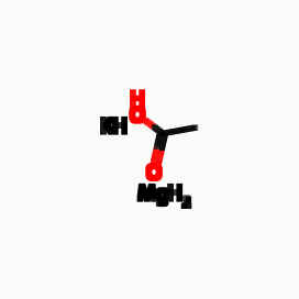 CC(=O)O.[KH].[MgH2]